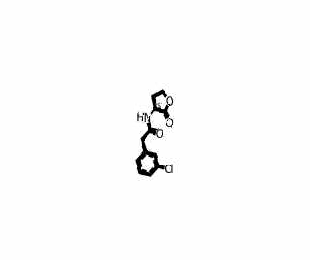 O=C(Cc1cccc(Cl)c1)N[C@H]1CCOC1=O